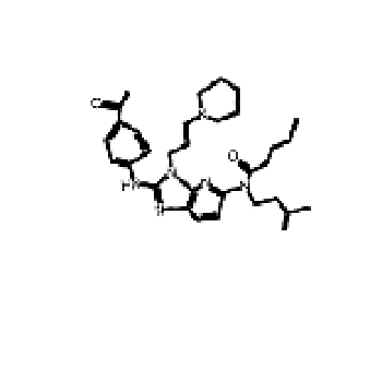 CCCCC(=O)N(CCC(C)C)c1ccc2nc(Nc3ccc(C(C)=O)cc3)n(CCCN3CCCCC3)c2n1